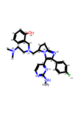 CCCNc1nccc(-c2c(-c3ccc(F)cc3)nc3n2C(CN(CCN(C)C)Cc2ccccc2O)CC3)n1